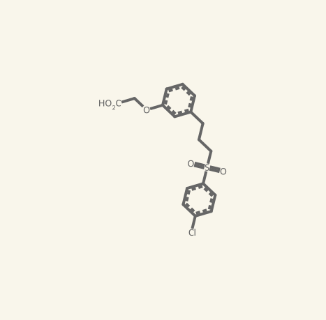 O=C(O)COc1cccc(CCCS(=O)(=O)c2ccc(Cl)cc2)c1